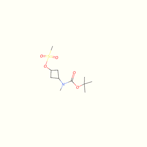 CN(C(=O)OC(C)(C)C)C1CC(OS(C)(=O)=O)C1